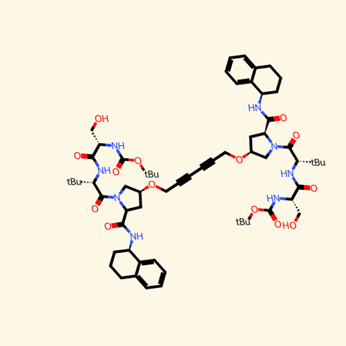 CC(C)(C)OC(=O)N[C@@H](CO)C(=O)N[C@H](C(=O)N1C[C@@H](OCC#CC#CCO[C@H]2C[C@@H](C(=O)N[C@@H]3CCCc4ccccc43)N(C(=O)[C@@H](NC(=O)[C@H](CO)NC(=O)OC(C)(C)C)C(C)(C)C)C2)CC1C(=O)N[C@@H]1CCCc2ccccc21)C(C)(C)C